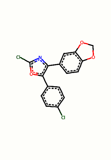 Clc1ccc(-c2oc(Cl)nc2-c2ccc3c(c2)OCO3)cc1